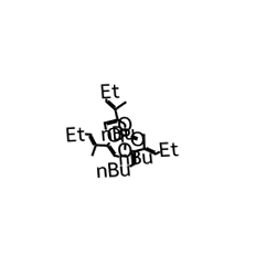 CC/C=C(C)/C(=C/CCCC)OP(=O)(OC(=C\CCCC)/C(C)=C/CC)OC(=C\CCCC)/C(C)=C/CC